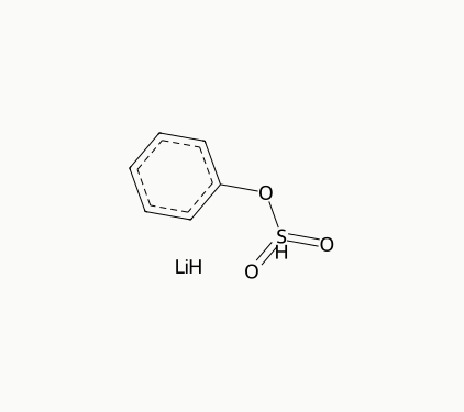 O=[SH](=O)Oc1ccccc1.[LiH]